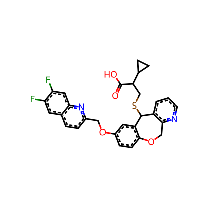 O=C(O)C(CSC1c2cc(OCc3ccc4cc(F)c(F)cc4n3)ccc2OCc2ncccc21)C1CC1